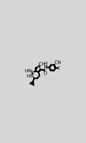 Cn1cc2c(c1C(=O)Nc1ccc(F)c(C#N)c1)CCC(C1CC1)NS2=N